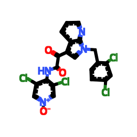 O=C(Nc1c(Cl)c[n+]([O-])cc1Cl)C(=O)c1cn(Cc2ccc(Cl)cc2Cl)c2ncccc12